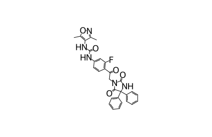 Cc1noc(C)c1NC(=O)Nc1ccc(C(=O)CN2C(=O)NC(c3ccccc3)(c3ccccc3)C2=O)c(F)c1